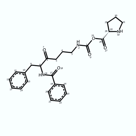 O=C(NCCCC(=O)C(Cc1ccccc1)NC(=O)c1ccccc1)OC(=O)[C@@H]1CCCN1